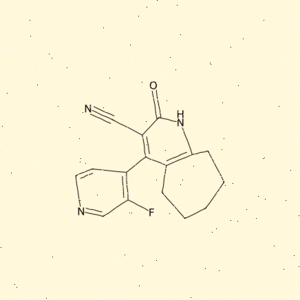 N#Cc1c(-c2ccncc2F)c2c([nH]c1=O)CCCCC2